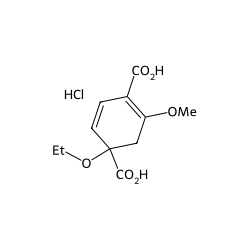 CCOC1(C(=O)O)C=CC(C(=O)O)=C(OC)C1.Cl